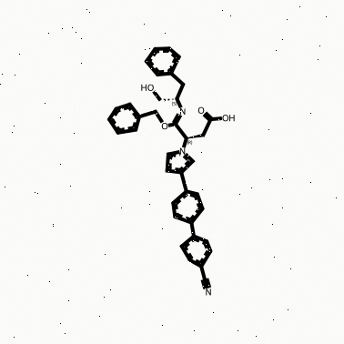 N#Cc1ccc(-c2ccc(-c3ccn([C@H](CC(=O)O)C(=N[C@H](CO)Cc4ccccc4)OCc4ccccc4)c3)cc2)cc1